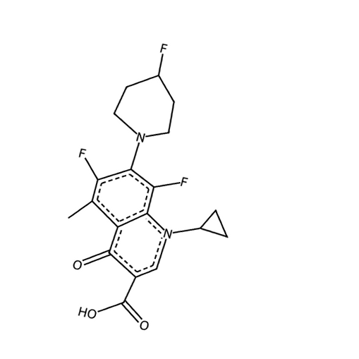 Cc1c(F)c(N2CCC(F)CC2)c(F)c2c1c(=O)c(C(=O)O)cn2C1CC1